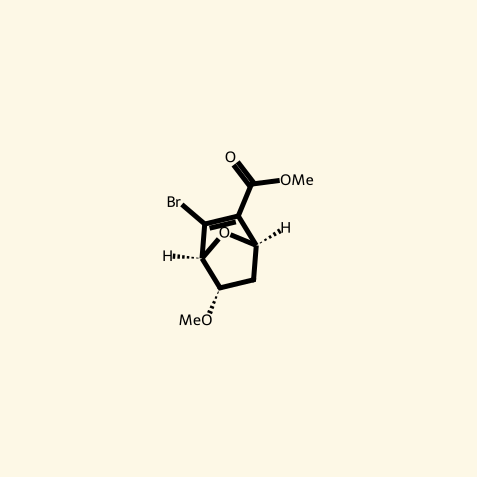 COC(=O)C1=C(Br)[C@H]2O[C@@H]1C[C@@H]2OC